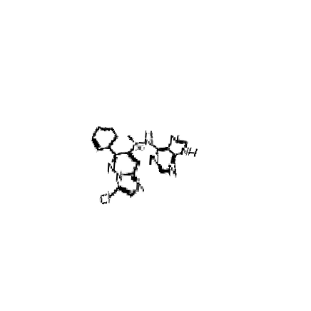 C[C@@H](Nc1ncnc2[nH]cnc12)c1cc2ncc(Cl)n2nc1-c1ccccc1